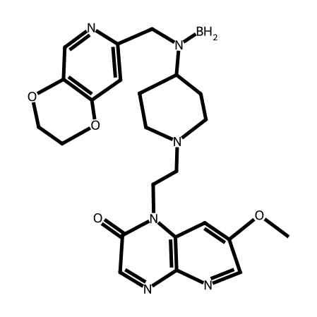 BN(Cc1cc2c(cn1)OCCO2)C1CCN(CCn2c(=O)cnc3ncc(OC)cc32)CC1